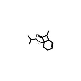 CC(C)COC12CCC=CC1C(C)C2=O